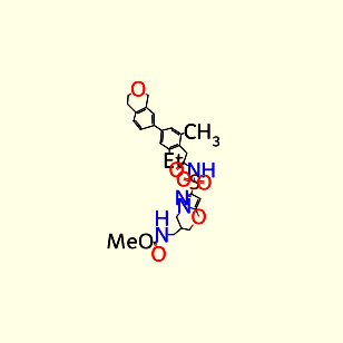 CCc1cc(-c2ccc3c(c2)COCC3)cc(C)c1CC(=O)NS(=O)(=O)c1cc2n(n1)CC(CNC(=O)OC)CO2